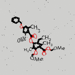 C=Cc1c(C)c(C(=O)OCOC)c(OCOC)c(C)c1OC(=O)c1c(C)cc(OCc2ccccc2)cc1OC